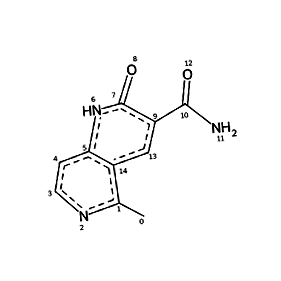 Cc1nccc2[nH]c(=O)c(C(N)=O)cc12